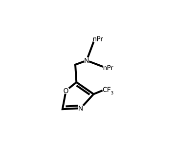 CCCN(CCC)Cc1ocnc1C(F)(F)F